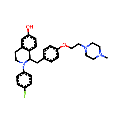 CN1CCN(CCOc2ccc(CC3c4ccc(O)cc4CCN3c3ccc(F)cc3)cc2)CC1